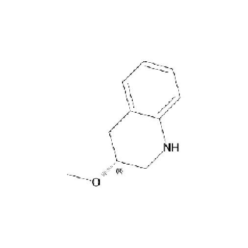 CO[C@H]1CNc2ccccc2C1